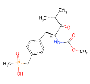 COC(=O)N[C@@H](Cc1ccc(CP(C)(=O)O)cc1)C(=O)C(C)C